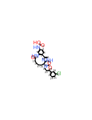 O=C(O)Nc1ccc2c(c1)NC(=O)CCCC[C@H](N1CCC(c3cccc(Cl)c3)OC1=O)c1nc-2c[nH]1